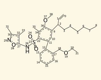 C=CC(CCCCCC)c1cc(-c2ccccc2COCC)c(S(=O)(=O)Nc2onc(C)c2C)c(C)c1OC